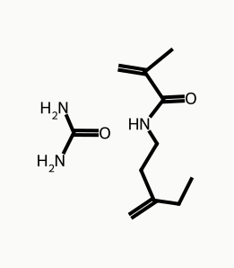 C=C(CC)CCNC(=O)C(=C)C.NC(N)=O